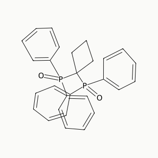 O=P(c1ccccc1)(c1ccccc1)C1(P(=O)(c2ccccc2)c2ccccc2)CCC1